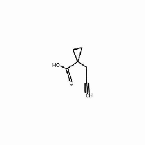 C#CCC1(C(=O)O)CC1